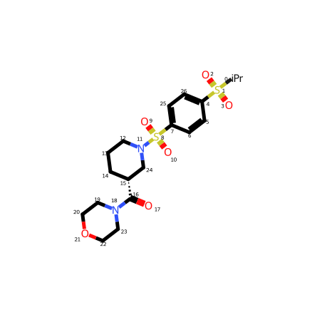 CC(C)S(=O)(=O)c1ccc(S(=O)(=O)N2CCC[C@@H](C(=O)N3CCOCC3)C2)cc1